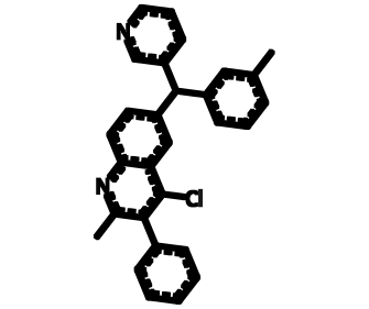 Cc1cccc(C(c2cccnc2)c2ccc3nc(C)c(-c4ccccc4)c(Cl)c3c2)c1